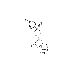 CCC1CN(C2CCC(C#N)(c3ccc(Cl)cn3)CC2)CC(F)CN1C(=O)O